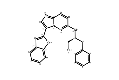 OC[C@H](Cc1ccccc1)Nc1ccc2ncc(-c3cc4ccccc4o3)n2n1